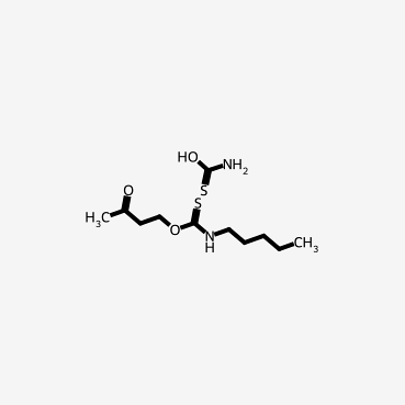 CCCCCNC(=S)OCCC(C)=O.NC(O)=S